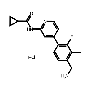 Cc1c(CN)ccc(-c2ccnc(NC(=O)C3CC3)c2)c1F.Cl